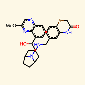 COc1cnc2cccc(C(O)CN3C4CCC3CC(NCc3ccc5c(c3)NC(=O)CS5)C4)c2n1